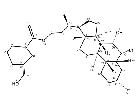 CC[C@H]1[C@@H](O)[C@@H]2[C@H](CC[C@]3(C)[C@@H]([C@H](C)CCOC(=O)N4CCC[C@H](CO)C4)CC[C@@H]23)[C@@]2(C)CC[C@@H](O)C[C@@H]12